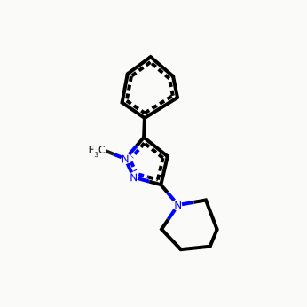 FC(F)(F)n1nc(N2CCCCC2)cc1-c1ccccc1